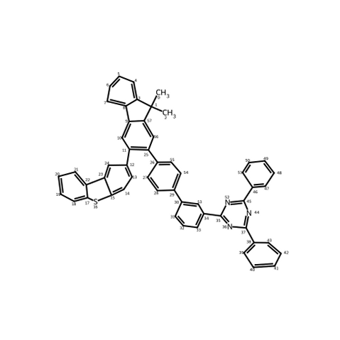 CC1(C)c2ccccc2-c2cc(-c3ccc4sc5ccccc5c4c3)c(-c3ccc(-c4cccc(-c5nc(-c6ccccc6)nc(-c6ccccc6)n5)c4)cc3)cc21